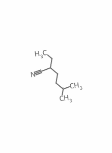 CCC(C#N)CC[C](C)C